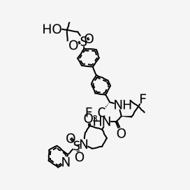 CC(C)(O)CS(=O)(=O)c1ccc(-c2ccc([C@H](N[C@@H](CC(C)(C)F)C(=O)NC3CCCN(S(=O)(=O)c4ccccn4)CC3=O)C(F)(F)F)cc2)cc1